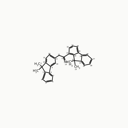 CC1(C)c2ccccc2-c2cc(CC(=N)c3cccc4c3C(C)(C)c3ccccc3-4)ccc21